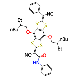 [C-]#[N+]C(=C1Sc2c(OCC(CC)CCCC)c3c(c(OCC(CC)CCCC)c2S1)SC(=C(C#N)C(=O)Nc1ccccc1)S3)c1ccccc1